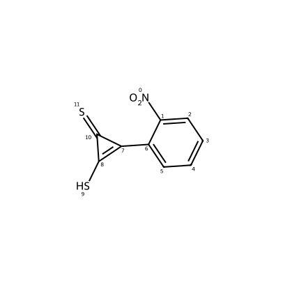 O=[N+]([O-])c1ccccc1-c1c(S)c1=S